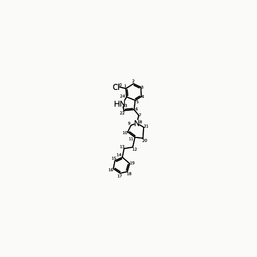 Clc1cccc2c(CN3CC=C(CCc4ccccc4)CC3)c[nH]c12